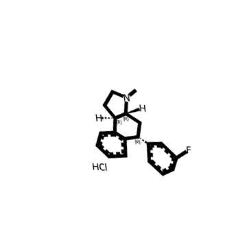 CN1CC[C@@H]2c3ccccc3[C@@H](c3cccc(F)c3)C[C@H]21.Cl